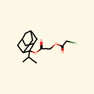 CC(C)C1(OC(=O)COC(=O)CCl)C2CC3CC(C2)CC1C3